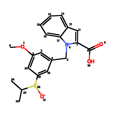 COc1cc(Cn2c(C(=O)O)cc3ccccc32)cc([S+]([O-])C(C)C)c1